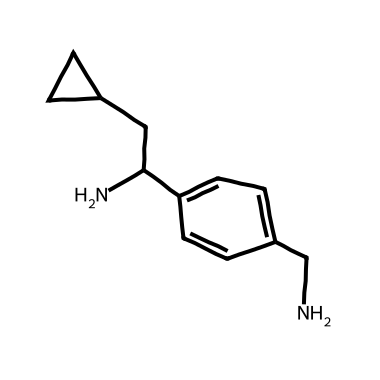 NCc1ccc(C(N)CC2CC2)cc1